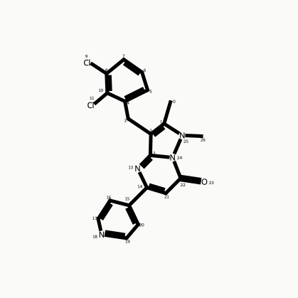 Cc1c(Cc2cccc(Cl)c2Cl)c2nc(-c3ccncc3)cc(=O)n2n1C